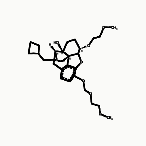 COCCOCOc1ccc2c3c1OC1[C@@H](OCCOC)CC[C@@]4(O)[C@@H](C2)N(CC2CCC2)CC[C@]314